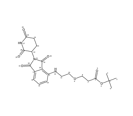 CC(C)(C)OC(=O)CCOCCNc1cccc2c1C(=O)N(C1CCC(=O)NC1=O)C2=O